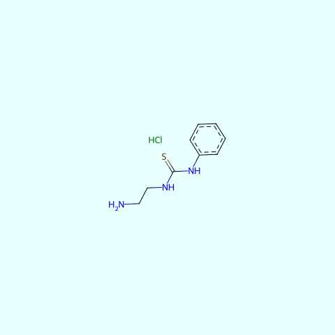 Cl.NCCNC(=S)Nc1ccccc1